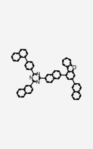 c1ccc2cc(-c3cc(-c4ccc5cc(-c6nc(-c7ccc(-c8cccc9ccccc89)cc7)nc(-c7ccc8ccccc8c7)n6)ccc5c4)c4c(c3)oc3ccccc34)ccc2c1